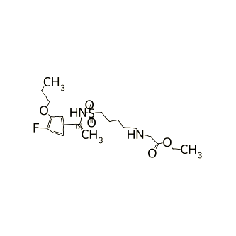 CCCOc1cc([C@H](C)NS(=O)(=O)CCCCCNCC(=O)OCC)ccc1F